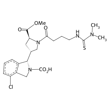 COC(=O)[C@@H]1C[C@@H]([C@H]2c3cccc(Cl)c3CN2C(=O)O)CN1C(=O)CCCNC(=S)N(C)C